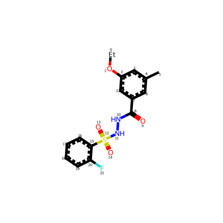 CCOc1cc(C)cc(C(=O)NNS(=O)(=O)c2ccccc2F)c1